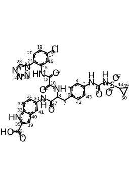 O=C(Nc1ccc(CC(NC(=O)C(=O)Nc2cc(Cl)ccc2-n2cnnn2)C(=O)Nc2ccc3[nH]c(C(=O)O)cc3c2)cc1)NS(=O)(=O)C1CC1